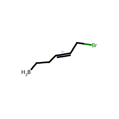 BCC/C=C/CBr